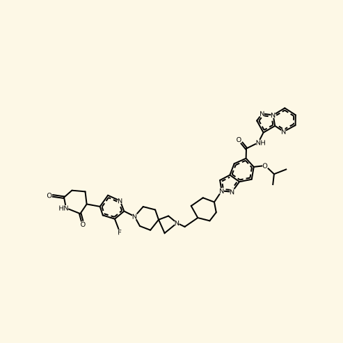 CC(C)Oc1cc2nn(C3CCC(CN4CC5(CCN(c6ncc(C7CCC(=O)NC7=O)cc6F)CC5)C4)CC3)cc2cc1C(=O)Nc1cnn2cccnc12